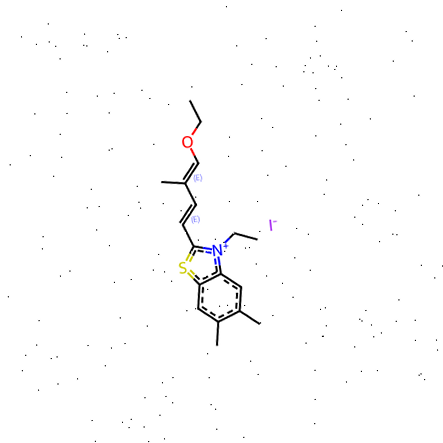 CCO/C=C(C)/C=C/c1sc2cc(C)c(C)cc2[n+]1CC.[I-]